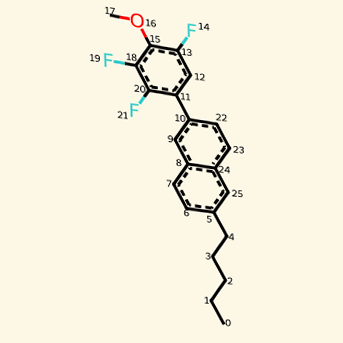 CCCCCc1ccc2cc(-c3cc(F)c(OC)c(F)c3F)ccc2c1